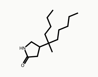 CCCCCC(C)(CCCC)C1CNC(=O)C1